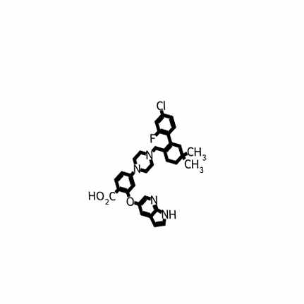 CC1(C)CCC(CN2CCN(c3ccc(C(=O)O)c(Oc4cnc5[nH]ccc5c4)c3)CC2)=C(c2ccc(Cl)cc2F)C1